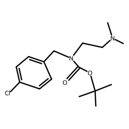 CN(C)CCN(Cc1ccc(Cl)cc1)C(=O)OC(C)(C)C